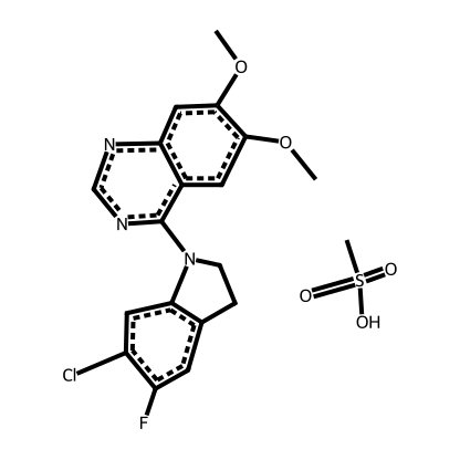 COc1cc2ncnc(N3CCc4cc(F)c(Cl)cc43)c2cc1OC.CS(=O)(=O)O